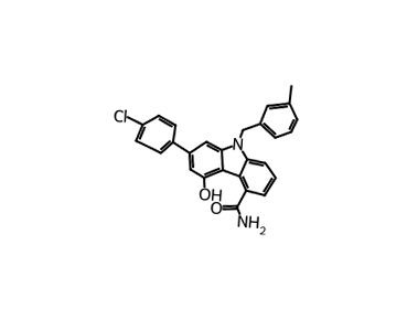 Cc1cccc(Cn2c3cc(-c4ccc(Cl)cc4)cc(O)c3c3c(C(N)=O)cccc32)c1